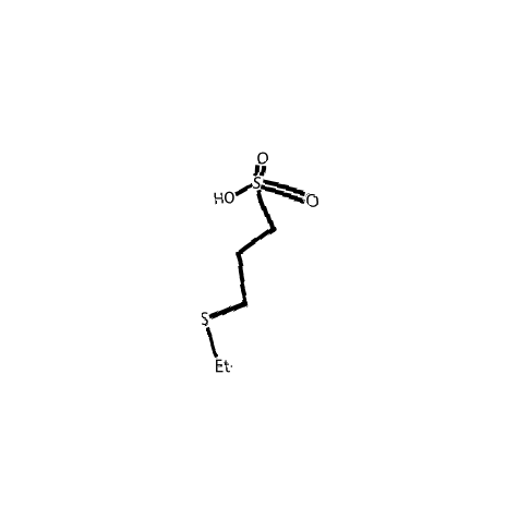 C[CH]SCCCS(=O)(=O)O